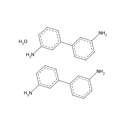 Nc1cccc(-c2cccc(N)c2)c1.Nc1cccc(-c2cccc(N)c2)c1.O